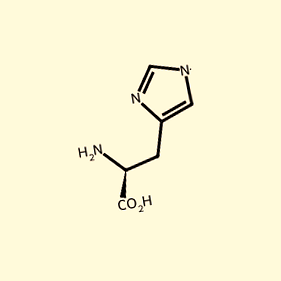 N[C@@H](CC1=C[N]C=N1)C(=O)O